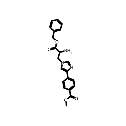 COC(=O)c1ccc(-c2cn(CC(N)C(=O)OCc3ccccc3)cn2)cc1